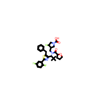 CC(C)(C)[C@H](c1nc(-c2cc(F)ccc2F)sc1Cc1ccccc1)N(CC1CN(C(=O)O)CC1F)C(=O)C1CCCO1